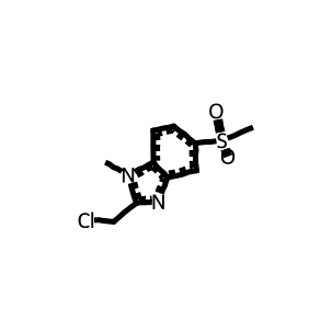 Cn1c(CCl)nc2cc(S(C)(=O)=O)ccc21